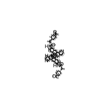 CC(=O)N1CCC([C@H]2C[C@@H]2C(=O)Nc2cc3cc(-c4cnccc4C)nc(NCc4ccncc4-c4cc5cc(NC(=O)[C@@H]6C[C@H]6C6CCN(C(C)=O)CC6)ncc5c(N)n4)c3cn2)CC1